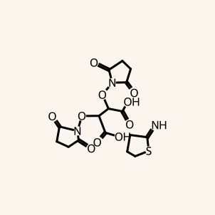 N=C1CCCS1.O=C(O)C(ON1C(=O)CCC1=O)C(ON1C(=O)CCC1=O)C(=O)O